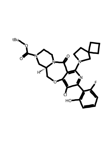 CC(C)(C)OC(=O)N1CCN2C(=O)c3c(N4CCC5(CCC5)C4)nc(-c4c(O)cccc4F)c(Cl)c3OC[C@H]2C1